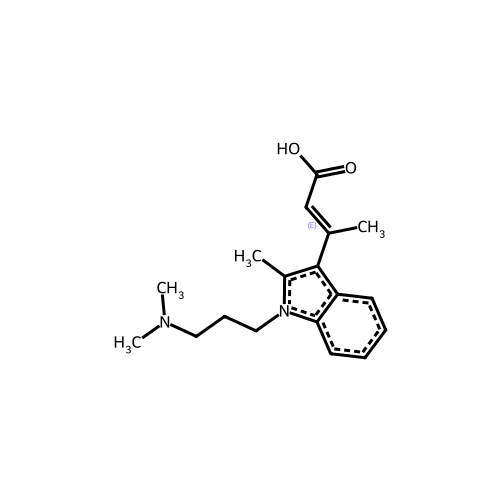 C/C(=C\C(=O)O)c1c(C)n(CCCN(C)C)c2ccccc12